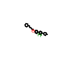 CC1CCC(c2ccc(-c3ccc(OCCCCCC4CCCCC4)cc3)c(F)c2F)CC1